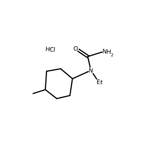 CCN(C(N)=O)C1CCC(C)CC1.Cl